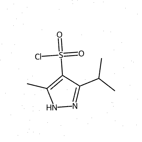 Cc1[nH]nc(C(C)C)c1S(=O)(=O)Cl